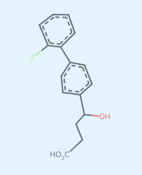 O=C(O)CCC(O)c1ccc(-c2ccccc2F)cc1